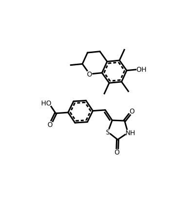 Cc1c(C)c2c(c(C)c1O)CCC(C)O2.O=C1NC(=O)C(=Cc2ccc(C(=O)O)cc2)S1